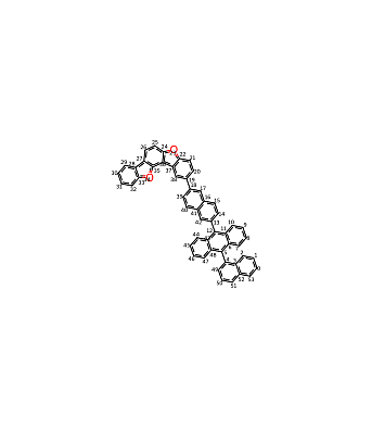 c1ccc2c(-c3c4ccccc4c(-c4ccc5cc(-c6ccc7oc8ccc9c%10ccccc%10oc9c8c7c6)ccc5c4)c4ccccc34)cccc2c1